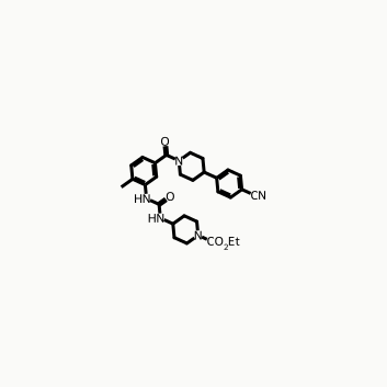 CCOC(=O)N1CCC(NC(=O)Nc2cc(C(=O)N3CCC(c4ccc(C#N)cc4)CC3)ccc2C)CC1